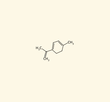 C=C(C)C1=CC=C(C)CC1